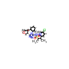 COc1cccc(OC)c1-n1c(NS(=O)(=O)C(C)C(C)c2ccc(Cl)cn2)nnc1[C@H]1CCOC1